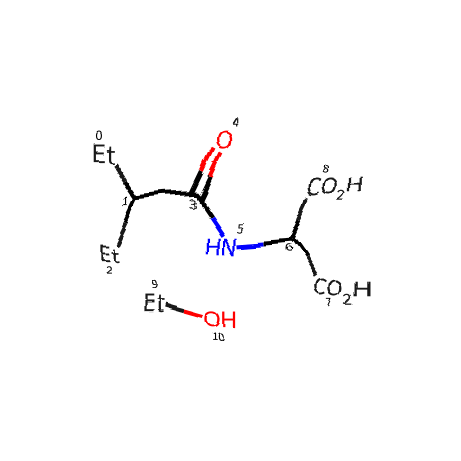 CCC(CC)C(=O)NC(C(=O)O)C(=O)O.CCO